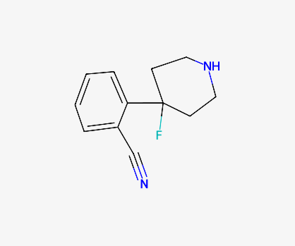 N#Cc1ccccc1C1(F)CCNCC1